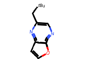 CC(C)(C)Cc1cnc2occc2n1